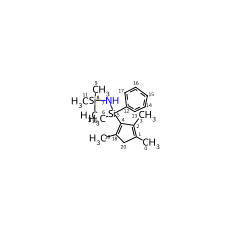 CC1=C(C)C([Si](C)(N[Si](C)(C)C)c2ccccc2)=C(C)C1